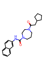 O=C(CC1CCCC1)N1CCCN(C(=O)Nc2ccc3ccccc3c2)CC1